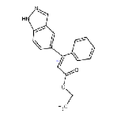 CCOC(=O)/C=C(\c1ccccc1)c1ccc2[nH]ncc2c1